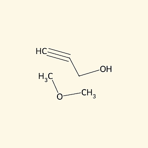 C#CCO.COC